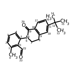 Cc1cccc(N2CCc3cc(C(C)(C)C)ccc3C2=O)c1C=O